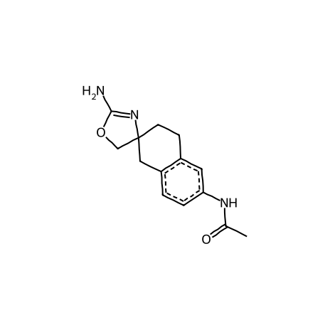 CC(=O)Nc1ccc2c(c1)CCC1(COC(N)=N1)C2